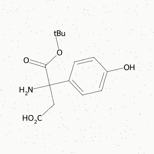 CC(C)(C)OC(=O)C(N)(CC(=O)O)c1ccc(O)cc1